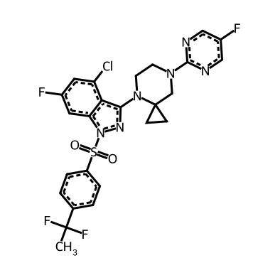 CC(F)(F)c1ccc(S(=O)(=O)n2nc(N3CCN(c4ncc(F)cn4)CC34CC4)c3c(Cl)cc(F)cc32)cc1